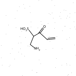 C=CC(=O)C(CN)S(=O)(=O)O